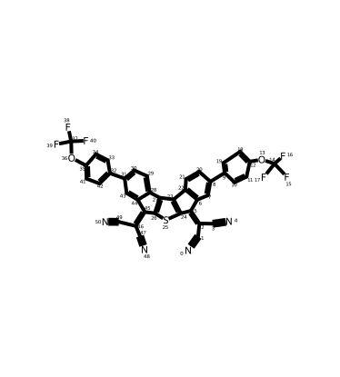 N#CC(C#N)=C1c2cc(-c3ccc(OC(F)(F)F)cc3)ccc2-c2c1sc1c2-c2ccc(-c3ccc(OC(F)(F)F)cc3)cc2C1=C(C#N)C#N